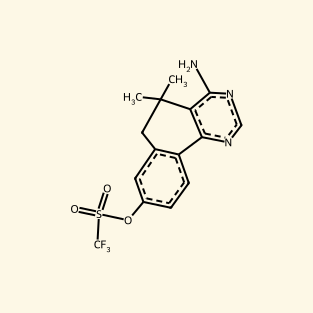 CC1(C)Cc2cc(OS(=O)(=O)C(F)(F)F)ccc2-c2ncnc(N)c21